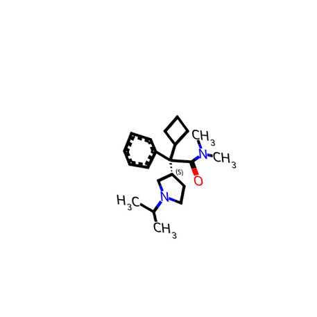 CC(C)N1CC[C@@H](C(C(=O)N(C)C)(c2ccccc2)C2CCC2)C1